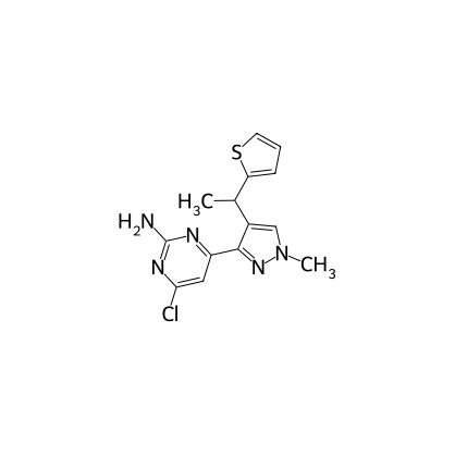 CC(c1cccs1)c1cn(C)nc1-c1cc(Cl)nc(N)n1